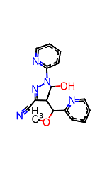 COC(c1ccccn1)C1C(C#N)=NN(c2ccccn2)C1O